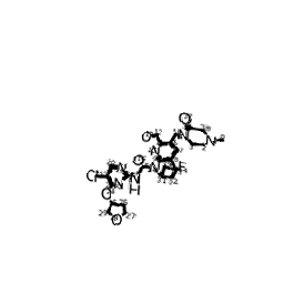 CN1CCN(Cc2cc3c(nc2C=O)N(C(=O)Nc2ncc(Cl)c(OC4CCOC4)n2)C2CC3(F)C2)C(=O)C1